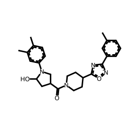 Cc1cccc(-c2noc(C3CCN(C(=O)C4CC(O)N(c5ccc(C)c(C)c5)C4)CC3)n2)c1